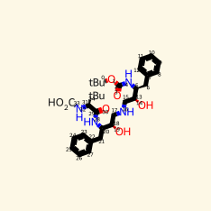 CC(C)(C)OC(=O)N[C@@H](Cc1ccccc1)[C@@H](O)CNC[C@@H](O)C(Cc1ccccc1)NC(=O)[C@@H](NC(=O)O)C(C)(C)C